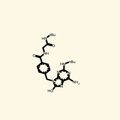 CCCCNc1nc(N)c2nc(O)n(Cc3ccc(C(=O)NCC(=O)NC(C)(C)C)cc3)c2n1